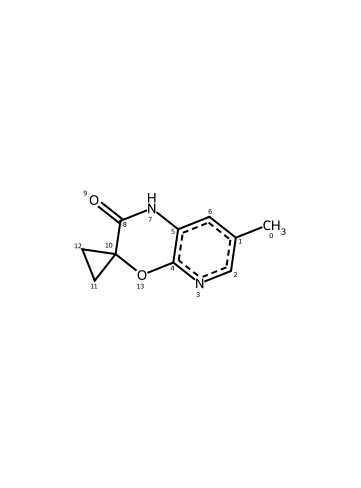 Cc1cnc2c(c1)NC(=O)C1(CC1)O2